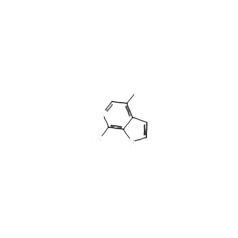 Nc1ncc(F)c2cc[nH]c12